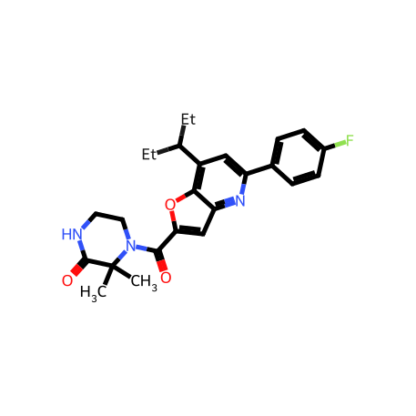 CCC(CC)c1cc(-c2ccc(F)cc2)nc2cc(C(=O)N3CCNC(=O)C3(C)C)oc12